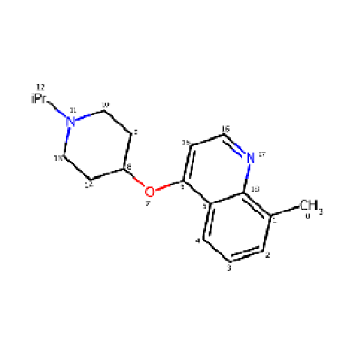 Cc1cccc2c(OC3CCN(C(C)C)CC3)ccnc12